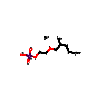 CCCCCCCCCCCCC(CCC)COCCOP(=O)([O-])O.[Na+]